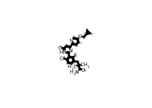 CC(C)(Cc1ccc(Cl)c(-c2nc(-c3ccc(OCC4CC4)cn3)cc(=O)[nH]2)c1F)C(N)=O